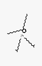 CCCCCCCCCc1cccc(OP(OCCCCCCCC(C)C)OCCCCCCCC(C)C)c1CCCCCCCCC